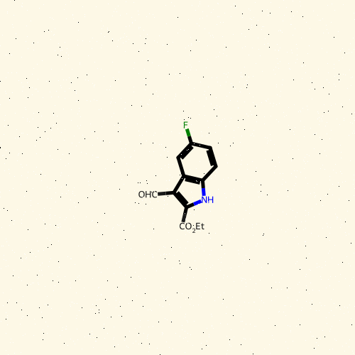 CCOC(=O)c1[nH]c2ccc(F)cc2c1C=O